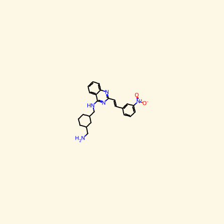 NCC1CCCC(CNc2nc(C=Cc3cccc([N+](=O)[O-])c3)nc3ccccc23)C1